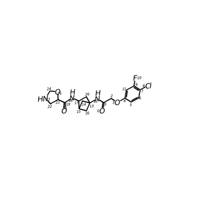 O=C(COc1ccc(Cl)c(F)c1)NC12CC(C1)C(NC(=O)C1CNCO1)C2